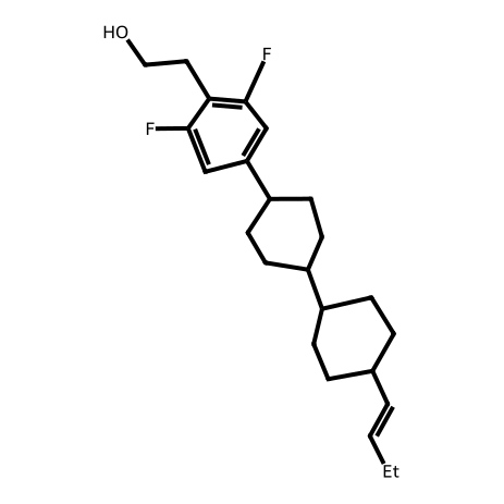 CC/C=C/C1CCC(C2CCC(c3cc(F)c(CCO)c(F)c3)CC2)CC1